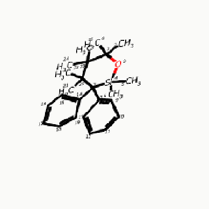 CC1(C)O[Si](C)(C)C(c2ccccc2)(c2ccccc2)C(C)(C)C1(C)C